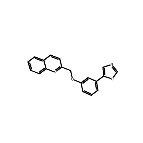 c1cc(OCc2ccc3ccccc3n2)cc(-c2cnco2)c1